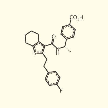 C[C@H](NC(=O)c1c(CCc2ccc(F)cc2)sc2c1CCCC2)c1ccc(C(=O)O)cc1